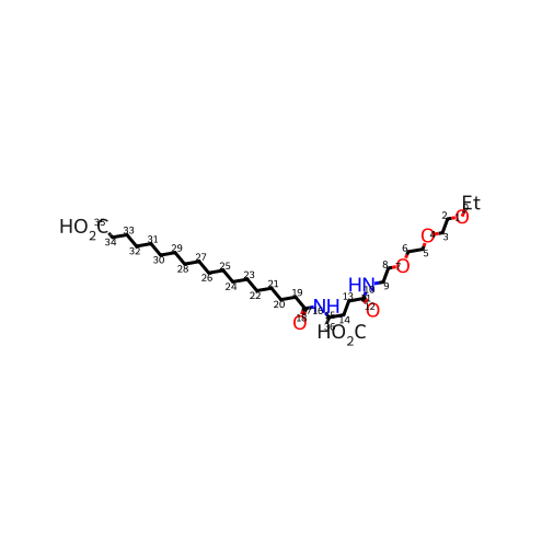 CCOCCOCCOCCNC(=O)CCC(NC(=O)CCCCCCCCCCCCCCCCC(=O)O)C(=O)O